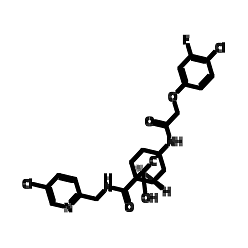 O=C(COc1ccc(Cl)c(F)c1)NC12CCC(C(=O)NCc3ccc(Cl)cn3)(CC1)[C@@H](O)C2